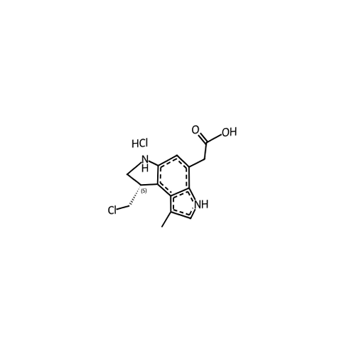 Cc1c[nH]c2c(CC(=O)O)cc3c(c12)[C@H](CCl)CN3.Cl